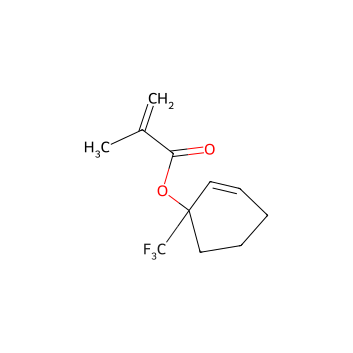 C=C(C)C(=O)OC1(C(F)(F)F)C=CCCC1